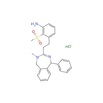 CN1Cc2ccccc2C(c2ccccc2)N=C1CCc1cccc(N)c1S(C)(=O)=O.Cl